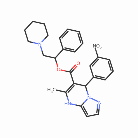 CC1=C(C(=O)OC(CN2CCCCC2)c2ccccc2)C(c2cccc([N+](=O)[O-])c2)n2nccc2N1